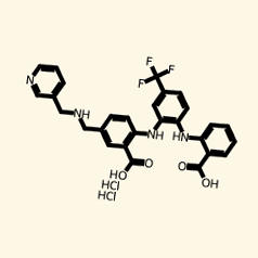 Cl.Cl.O=C(O)c1ccccc1Nc1ccc(C(F)(F)F)cc1Nc1ccc(CNCc2cccnc2)cc1C(=O)O